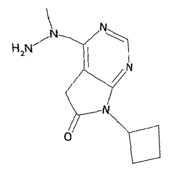 CN(N)c1ncnc2c1CC(=O)N2C1CCC1